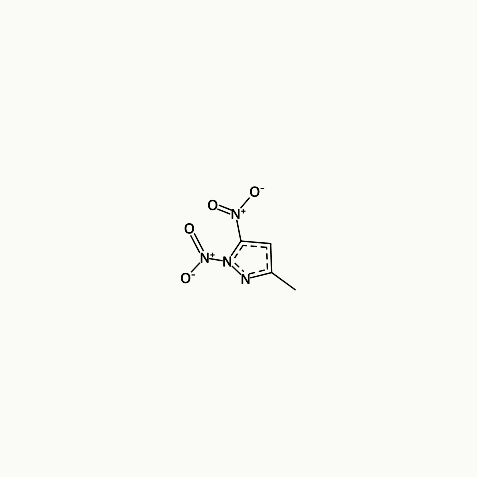 Cc1cc([N+](=O)[O-])n([N+](=O)[O-])n1